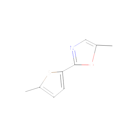 Cc1cnc(-c2ccc(C)s2)o1